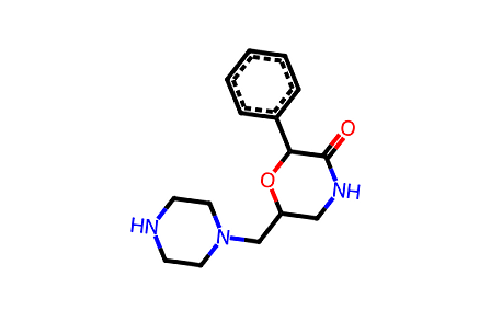 O=C1NCC(CN2CCNCC2)OC1c1ccccc1